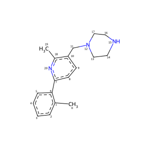 Cc1ccccc1-c1ccc(CN2CCNCC2)c(C)n1